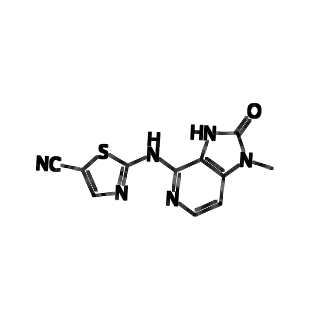 Cn1c(=O)[nH]c2c(Nc3ncc(C#N)s3)nccc21